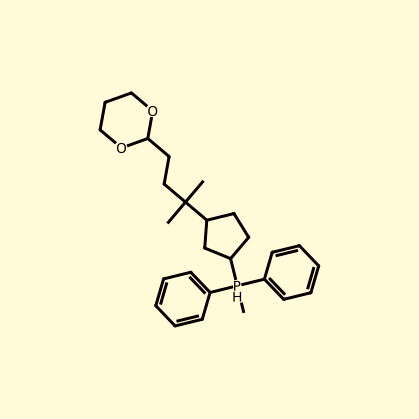 CC(C)(CCC1OCCCO1)C1CCC([PH](C)(c2ccccc2)c2ccccc2)C1